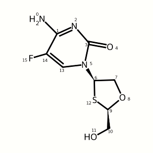 Nc1nc(=O)n([C@H]2CO[C@@H](CO)S2)cc1F